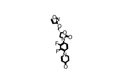 O=C1C=CN(c2ccc(N3C[C@H](COc4ccon4)OC3=O)c(F)c2F)CC1